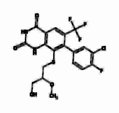 COC(CO)CSc1c(-c2ccc(F)c(Cl)c2)c(C(F)(F)F)cc2c(=O)[nH]c(=O)[nH]c12